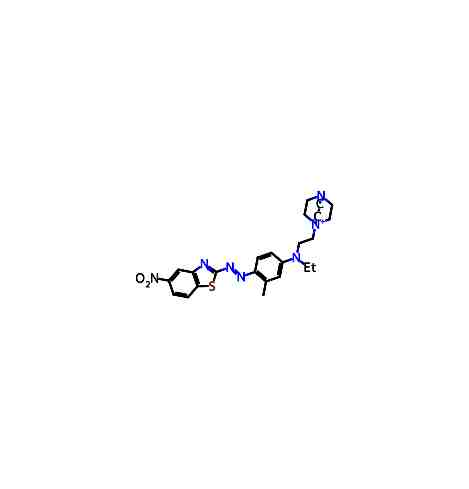 CCN(CC[N+]12CCN(CC1)CC2)c1ccc(/N=N/c2nc3cc([N+](=O)[O-])ccc3s2)c(C)c1